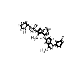 Cc1nn(-c2cccc(F)c2)c2ccc(Nc3ncnn4cc(NC(=O)OC[C@@H]5COCCN5)c(C)c34)cc12